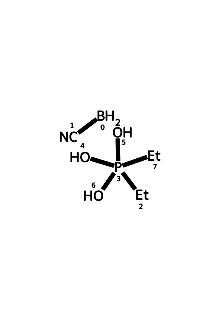 BC#N.CCP(O)(O)(O)CC